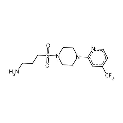 NCCCS(=O)(=O)N1CCN(c2cc(C(F)(F)F)ccn2)CC1